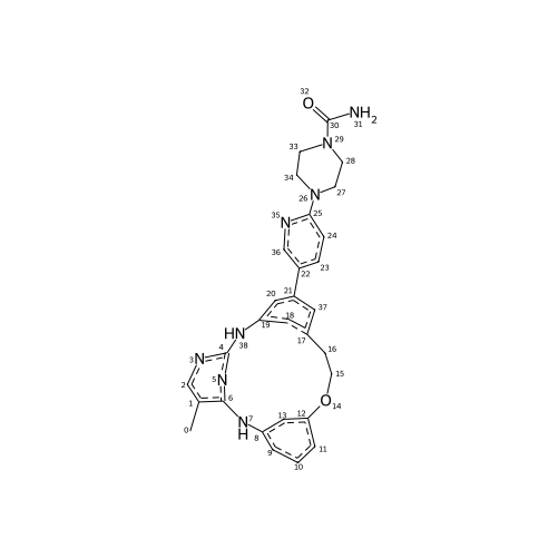 Cc1cnc2nc1Nc1cccc(c1)OCCc1cc(cc(-c3ccc(N4CCN(C(N)=O)CC4)nc3)c1)N2